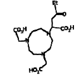 CCC(=O)CC(C(=O)O)N1CCN(CC(=O)O)CCN(CC(=O)O)CC1